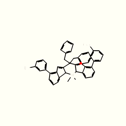 CC(C)(C)c1cccc(-c2cccc3c2C=C2[CH]3[Hf]([CH3])([CH3])[CH]3C(=Cc4c(-c5cccc(C(C)(C)C)c5)cccc43)C2(Cc2ccccc2)Cc2ccccc2)c1